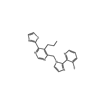 CCCc1c(Cn2ccnc2-c2ncccc2F)ncnc1-c1nccs1